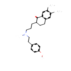 COc1cc2c(cc1OC)C(=O)C(CCCN(C)CCc1ccc(OC(F)(F)F)cc1)CC2